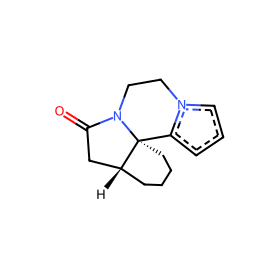 O=C1C[C@H]2CCCC[C@]23c2cccn2CCN13